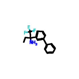 CCC(N)(c1cccc(-c2ccccc2)c1)C(F)(F)F